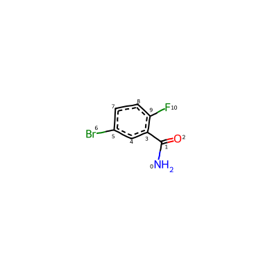 NC(=O)c1cc(Br)ccc1F